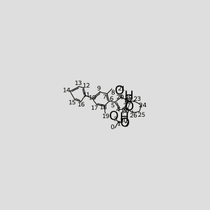 CC(=O)OC1=C(c2c(C)cc(-c3ccccc3)cc2C)C(=O)[C@H]2C3CCC(O3)[C@@H]12